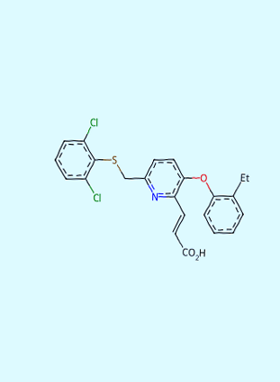 CCc1ccccc1Oc1ccc(CSc2c(Cl)cccc2Cl)nc1C=CC(=O)O